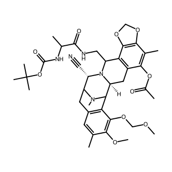 COCOc1c(OC)c(C)cc2c1C1[C@@H]3Cc4c(OC(C)=O)c(C)c5c(c4C(CNC(=O)C(C)NC(=O)OC(C)(C)C)N3[C@@H](C#N)C(C2)N1C)OCO5